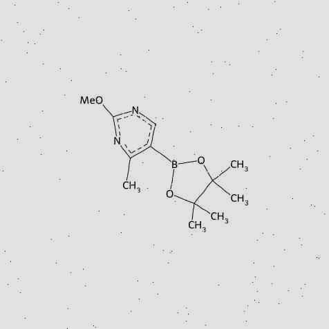 COc1ncc(B2OC(C)(C)C(C)(C)O2)c(C)n1